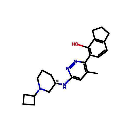 Cc1cc(N[C@H]2CCCN(C3CCC3)C2)nnc1-c1ccc2c(c1O)CCC2